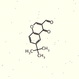 CC(C)(C)c1ccc2occ(C=O)c(=O)c2c1